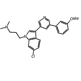 COc1cccc(-c2cncc(-c3cn(CCCN(C)C)c4cc(Cl)ccc34)c2)c1